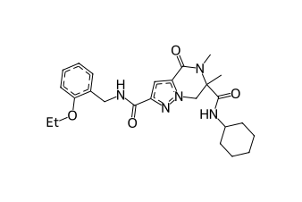 CCOc1ccccc1CNC(=O)c1cc2n(n1)CC(C)(C(=O)NC1CCCCC1)N(C)C2=O